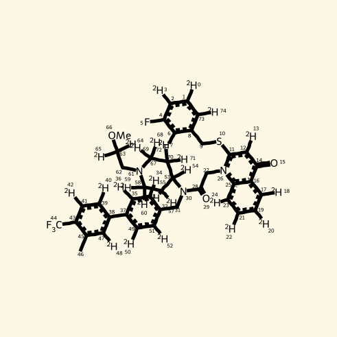 [2H]c1c([2H])c(F)c(F)c(CSc2c([2H])c(=O)c3c([2H])c([2H])c([2H])c([2H])c3n2CC(=O)N(Cc2c([2H])c([2H])c(-c3c([2H])c([2H])c(C(F)(F)F)c(C)c3[2H])c([2H])c2[2H])C2([2H])C([2H])([2H])C([2H])([2H])N(CC([2H])([2H])OC)C([2H])([2H])C2([2H])[2H])c1[2H]